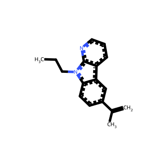 C=C(C)c1ccc2c(c1)c1cccnc1n2CCC